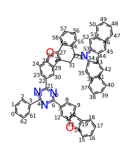 c1ccc(-c2nc(-c3ccc4c(c3)oc3ccccc34)nc(-c3ccc4oc5c(c4c3)CC(n3c4cc6ccccc6cc4c4cc6ccccc6cc43)c3ccccc3-5)n2)cc1